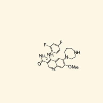 COc1cc2ncc(C(N)=O)c(Nc3ccc(F)cc3F)c2cc1N1CCCNCC1